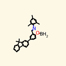 BOc1ccc(-c2ccc3c(c2)C(C)(C)c2ccccc2-3)cc1/C=N/c1c(C)cc(C)cc1C